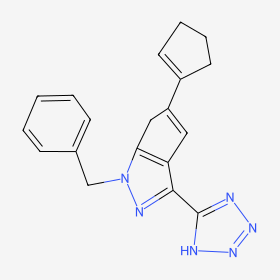 C1=C(C2=Cc3c(-c4nnn[nH]4)nn(Cc4ccccc4)c3C2)CCC1